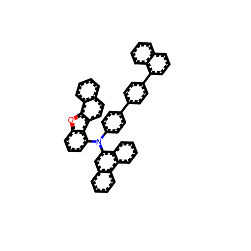 c1ccc2c(-c3ccc(-c4ccc(N(c5cc6ccccc6c6ccccc56)c5cccc6oc7c8ccccc8ccc7c56)cc4)cc3)cccc2c1